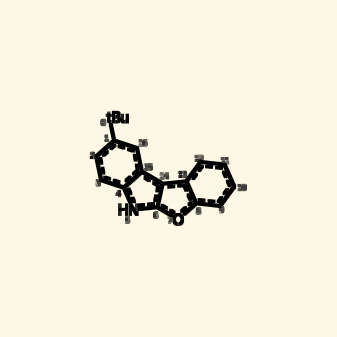 CC(C)(C)c1ccc2[nH]c3oc4ccccc4c3c2c1